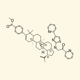 C=C(C)[C@@H]1CC[C@]2(N(CC(=O)c3ccccn3)c3nc(-c4ccccn4)cs3)CC[C@]3(C)[C@H](CCC4[C@@]5(C)CC=C(c6ccc(C(=O)OC)cc6)C(C)(C)C5CC[C@]43C)C12